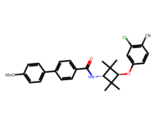 COc1ccc(-c2ccc(C(=O)N[C@H]3C(C)(C)[C@H](Oc4ccc(C#N)c(Cl)c4)C3(C)C)cc2)cc1